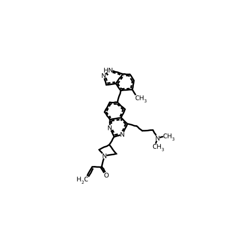 C=CC(=O)N1CC(c2nc(CCCN(C)C)c3cc(-c4c(C)ccc5[nH]ncc45)ccc3n2)C1